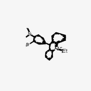 CC[n+]1c2ccccc2c(-c2ccc(N(C)C)c(Br)c2)c2ccccc21